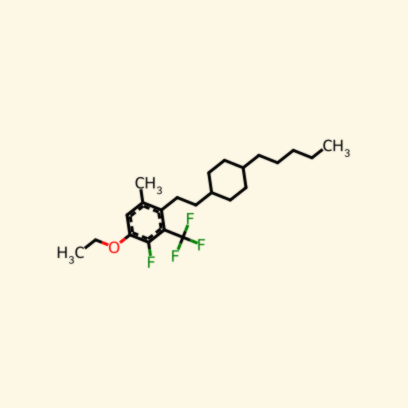 CCCCCC1CCC(CCc2c(C)cc(OCC)c(F)c2C(F)(F)F)CC1